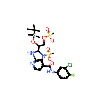 CC(C)(C)[Si](C)(C)OC(COS(C)(=O)=O)C1Nc2nccc(C(=O)Nc3ccc(F)c(Cl)c3)c2N1S(C)(=O)=O